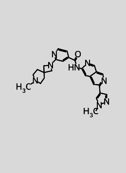 CN1CCC2(CC1)CN(c1cc(C(=O)Nc3cc4cc(-c5cnn(C)c5)ncc4cn3)ccn1)C2